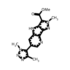 COC(=O)c1c2[nH]c3cc(-c4c(C)nnn4C)cnc3c2nn1C